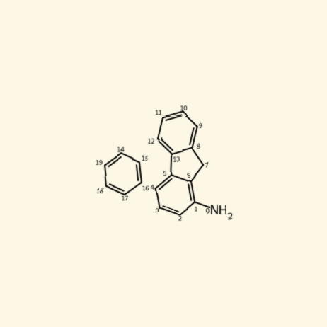 Nc1cccc2c1Cc1ccccc1-2.c1ccccc1